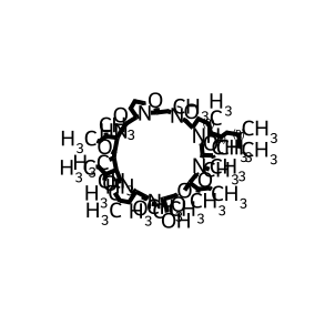 CCC(C)C1NC(=O)C2CCCN2C(=O)CN(C)C(=O)C(C[C@H](C)C[C@H](C)C[C@H](C)CC)NC(=O)C(C(C)C)N(C)C(=O)C(C(C)CC)OC(=O)C(C(C)(C)O)N(C)C(=O)C(CC(C)C)NC(=O)C(C(C)CC)C(C)C1=O